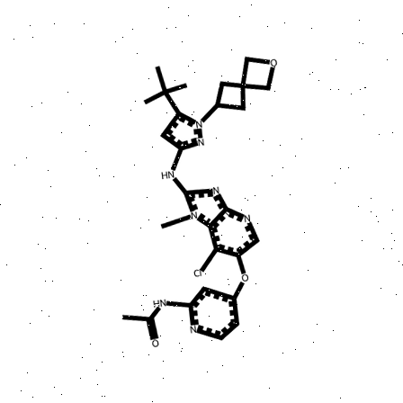 CC(=O)Nc1cc(Oc2cnc3nc(Nc4cc(C(C)(C)C)n(C5CC6(COC6)C5)n4)n(C)c3c2Cl)ccn1